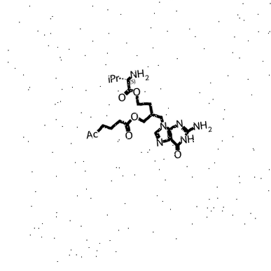 CC(=O)CCCC(=O)OCC(CCOC(=O)[C@@H](N)C(C)C)Cn1cnc2c(=O)[nH]c(N)nc21